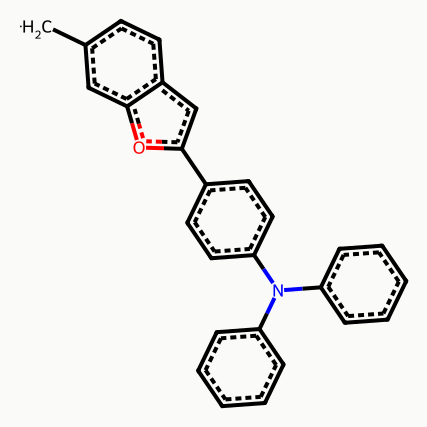 [CH2]c1ccc2cc(-c3ccc(N(c4ccccc4)c4ccccc4)cc3)oc2c1